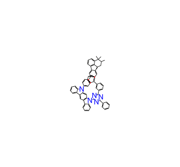 CC1CC2(C)c3ccc(-c4ccc(-n5c6ccccc6c6cc7c8ccccc8n(-c8nc(-c9ccccc9)nc(-c9cccc(-c%10ccccc%10)c9)n8)c7cc65)cc4)cc3-c3cccc(c32)C1(C)C